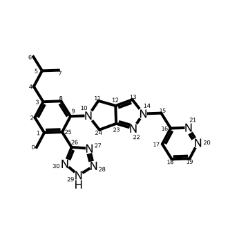 Cc1cc(CC(C)C)cc(N2Cc3cn(Cc4cccnn4)nc3C2)c1-c1nn[nH]n1